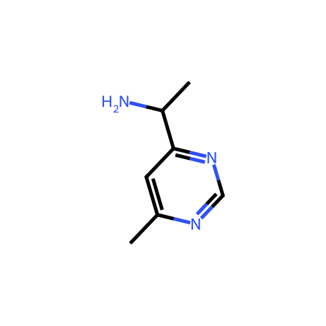 Cc1cc(C(C)N)ncn1